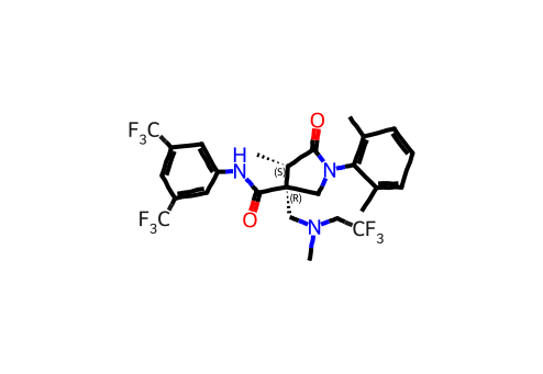 Cc1cccc(C)c1N1C[C@@](CN(C)CC(F)(F)F)(C(=O)Nc2cc(C(F)(F)F)cc(C(F)(F)F)c2)[C@H](C)C1=O